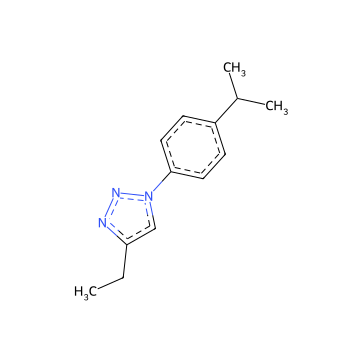 CCc1cn(-c2ccc(C(C)C)cc2)nn1